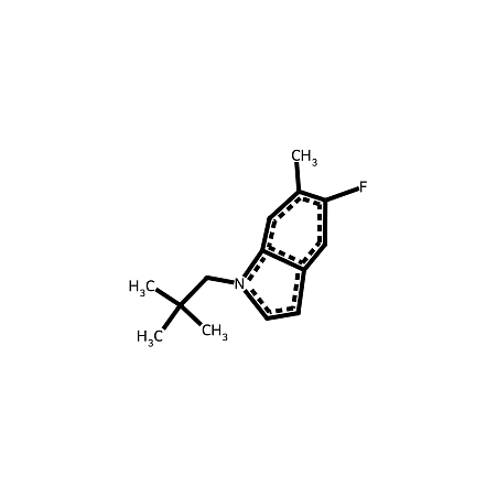 Cc1cc2c(ccn2CC(C)(C)C)cc1F